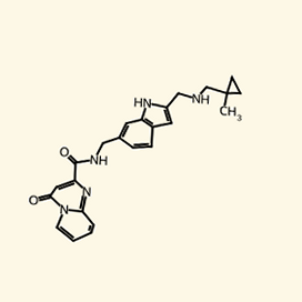 CC1(CNCc2cc3ccc(CNC(=O)c4cc(=O)n5ccccc5n4)cc3[nH]2)CC1